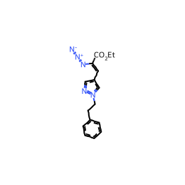 CCOC(=O)/C(=C/c1cnn(CCc2ccccc2)c1)N=[N+]=[N-]